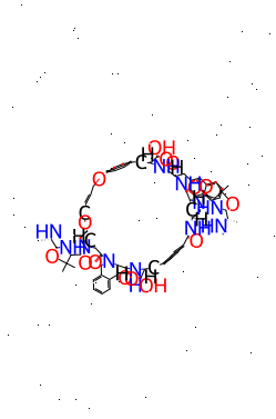 CN[C@@H](C)C(=O)N[C@H](C(=O)N1C[C@@H]2CC1C(=O)N1Cc3ccccc3C[C@H]1C(=O)N[C@H](C(=O)O)Cc1ccc(cc1)C(=O)N[C@H]1C[C@@H](C(=O)N[C@@H](Cc3ccc4ccccc4c3)C(=O)N[C@H](C(=O)O)Cc3ccc(cc3)OC/C=C/CO2)N(C(=O)[C@@H](NC(=O)[C@H](C)NC)C(C)(C)C)C1)C(C)(C)C